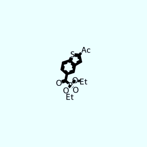 CCOP(=O)(OCC)C(=O)c1ccc2sc(C(C)=O)cc2c1